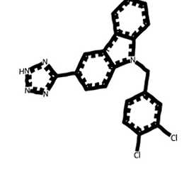 Clc1ccc(Cn2c3ccccc3c3cc(-c4nn[nH]n4)ccc32)cc1Cl